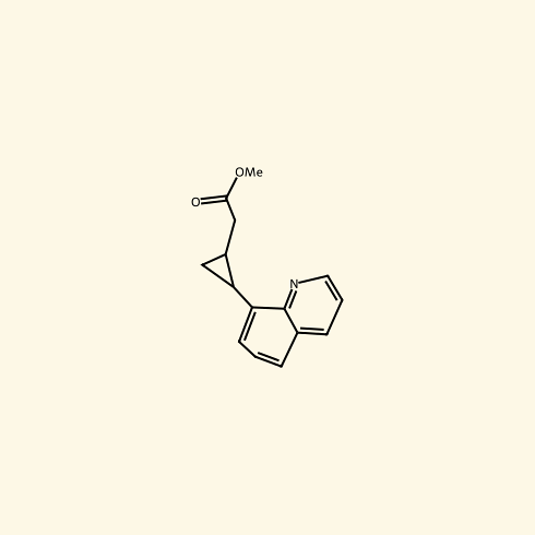 COC(=O)CC1CC1c1cccc2cccnc12